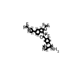 CN(C(=O)c1cc2c(cc1F)nc(N)c1cncn12)[C@H]1c2ccc(-c3cnn(C(F)F)c3)cc2C[C@H]1OC(F)F